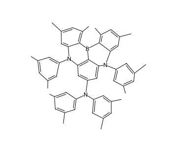 Cc1cc(C)cc(N(c2cc(C)cc(C)c2)c2cc3c4c(c2)N(c2cc(C)cc(C)c2)c2cc(C)cc(C)c2B4c2c(C)cc(C)cc2N3c2cc(C)cc(C)c2)c1